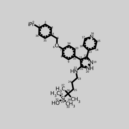 CC(C)c1ccc(COc2ccc(-c3c(-c4ccncc4)n[nH]c3NCCCC(C)(C)[Si](C)(C)O)cc2)cc1